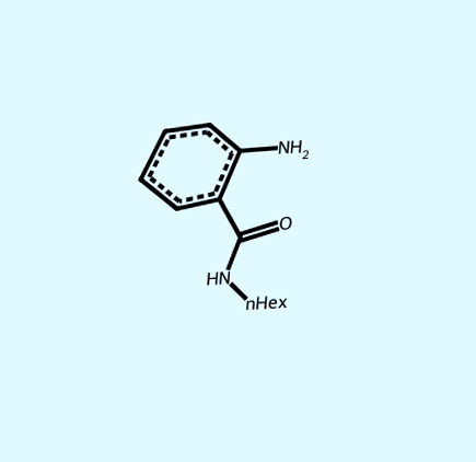 CCCCCCNC(=O)c1ccccc1N